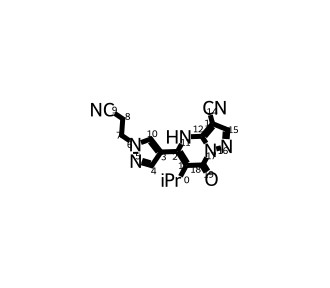 CC(C)c1c(-c2cnn(CCC#N)c2)[nH]c2c(C#N)cnn2c1=O